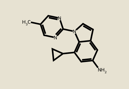 Cc1cnc(-n2ccc3cc(N)cc(C4CC4)c32)nc1